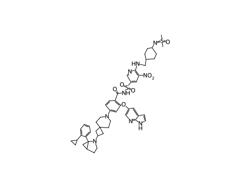 CS(C)(=O)=NC1CCC(CNc2ncc(S(=O)(=O)NC(=O)c3ccc(N4CCC5(CC4)CC(N4CCC6CC64c4ccccc4C4CC4)C5)cc3Oc3cnc4[nH]ccc4c3)cc2[N+](=O)[O-])CC1